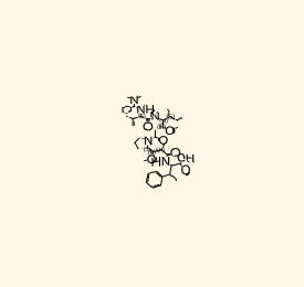 CC[C@H](C)[C@@H]([C@@H](CC(=O)N1CCC[C@H]1[C@H](OC)[C@@H](C)C(=O)NC(C(=O)O)C(C)c1ccccc1)OC)N(C)C(=O)[C@@H](NC(=O)N(C)C)C(C)C